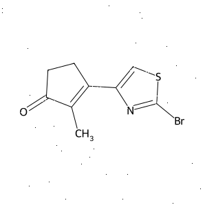 CC1=C(c2csc(Br)n2)CCC1=O